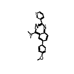 COc1ccc(-c2ccc3nc(-c4cccnc4)nc(N(C)C)c3c2)cc1